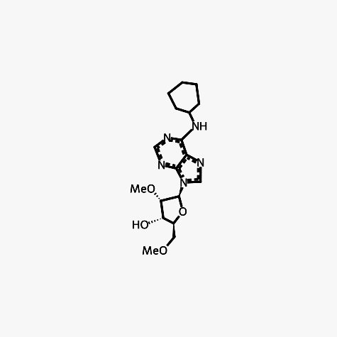 COC[C@@H]1O[C@H](n2cnc3c(NC4CCCCC4)ncnc32)[C@@H](OC)[C@H]1O